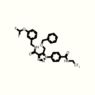 O=C(NCC(F)(F)F)c1ccc(-n2nnc(C(=O)NCc3cccc(OC(F)F)c3)c2COCc2ccccc2)cc1